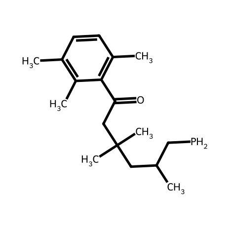 Cc1ccc(C)c(C(=O)CC(C)(C)CC(C)CP)c1C